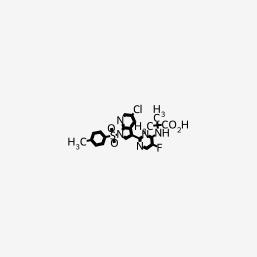 Cc1ccc(S(=O)(=O)n2cc(-c3ncc(F)c(NC(C)(C)C(=O)O)n3)c3cc(Cl)cnc32)cc1